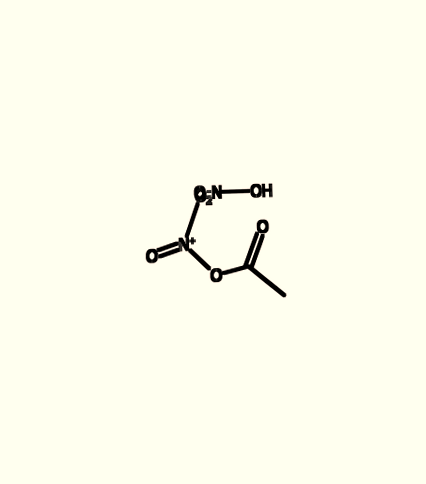 CC(=O)O[N+](=O)[O-].O=[N+]([O-])O